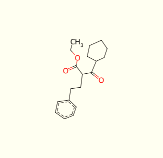 CCOC(=O)C(CCc1ccccc1)C(=O)C1CCCCC1